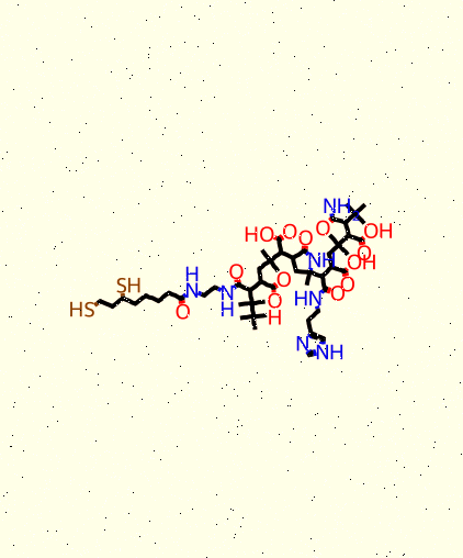 CC(C)(C)C(C(N)=O)C(C(=O)O)C(C)(C)CC(C(=O)O)C(C(=O)NCCc1c[nH]cn1)C1(C)CC(C(C(=O)O)C(C)(C)CC(C(=O)O)C(C(=O)NCCNC(=O)CCCCC(S)CCS)C(C)(C)C(C)(C)C)C(=O)N1